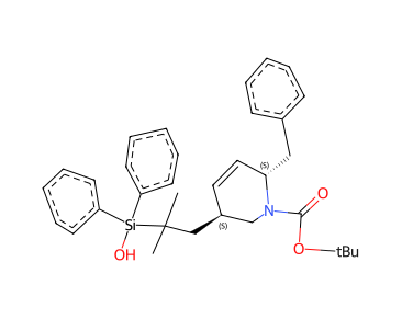 CC(C)(C)OC(=O)N1C[C@@H](CC(C)(C)[Si](O)(c2ccccc2)c2ccccc2)C=C[C@@H]1Cc1ccccc1